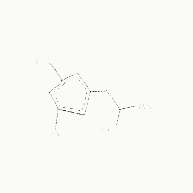 CNC(C=O)Cc1cc(O)cc(O)c1